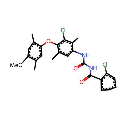 COc1cc(C)c(Oc2c(C)cc(NC(=O)NC(=O)c3ccccc3Cl)c(C)c2Cl)cc1C